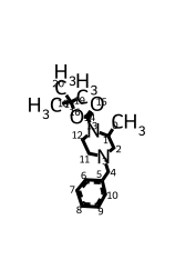 CC1CN(Cc2ccccc2)CCN1C(=O)OC(C)(C)C